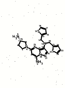 Nc1cc(N2CC[C@H](N)C2)nc2c(N(Cc3cccs3)Cc3cccs3)cnn12